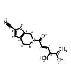 CC(C)C(N)/C=C/C(=O)N1CCc2cc(C#N)sc2C1